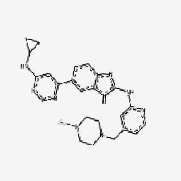 CC(C)(C)N1CCN(Cc2ccnc(Nc3nc4ccc(-c5cc(NC6CC6)ncn5)cc4[nH]3)c2)CC1